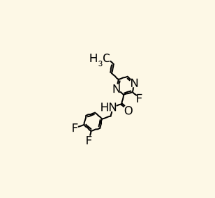 CC=Cc1cnc(F)c(C(=O)NCc2ccc(F)c(F)c2)n1